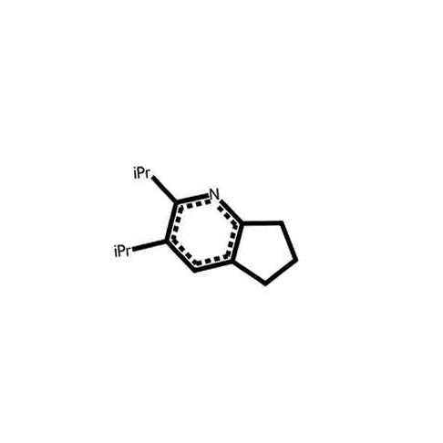 CC(C)c1cc2c(nc1C(C)C)CCC2